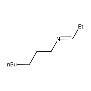 [CH2]CC=NCCCCCCC